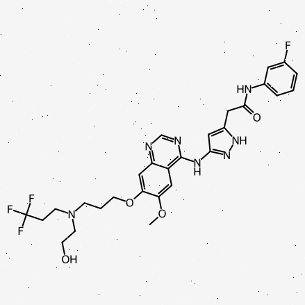 COc1cc2c(Nc3cc(CC(=O)Nc4cccc(F)c4)[nH]n3)ncnc2cc1OCCCN(CCO)CCC(F)(F)F